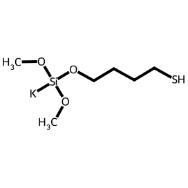 CO[Si]([K])(OC)OCCCCS